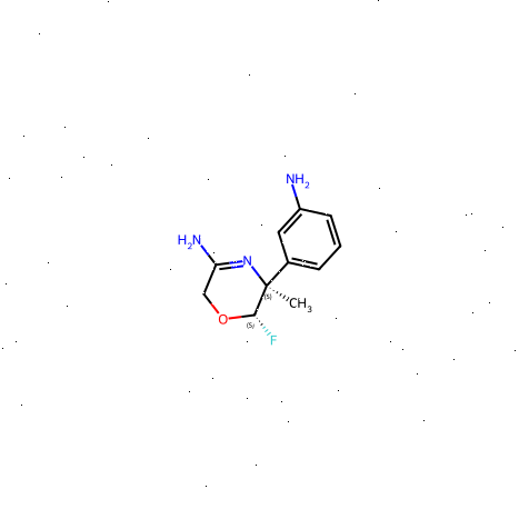 C[C@@]1(c2cccc(N)c2)N=C(N)CO[C@H]1F